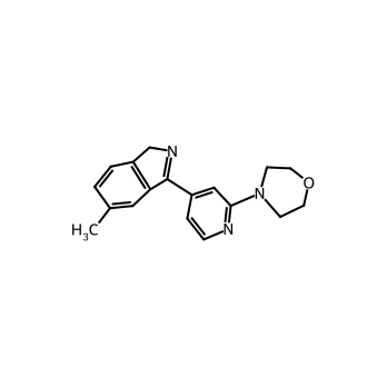 Cc1ccc2c(c1)C(c1ccnc(N3CCOCC3)c1)=NC2